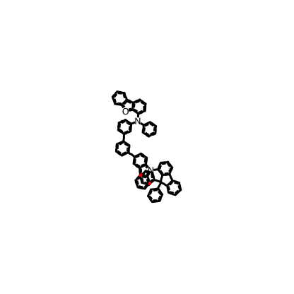 c1ccc(N(c2cccc(-c3cccc(-c4ccc5c(c4)c4ccccc4n5-c4cccc5c4C(c4ccccc4)(c4ccccc4)c4ccccc4-5)c3)c2)c2cccc3c2oc2ccccc23)cc1